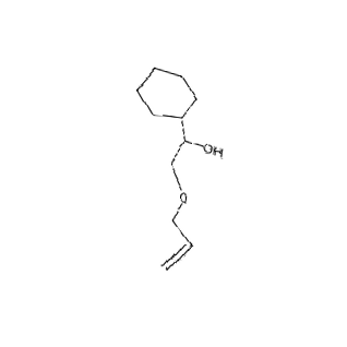 C=CCOCC(O)C1CCCCC1